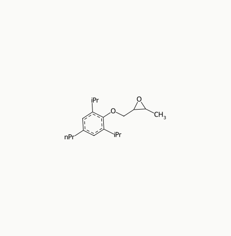 CCCc1cc(C(C)C)c(OCC2OC2C)c(C(C)C)c1